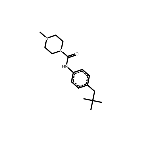 CN1CCN(C(=O)Nc2ccc(CC(C)(C)C)cc2)CC1